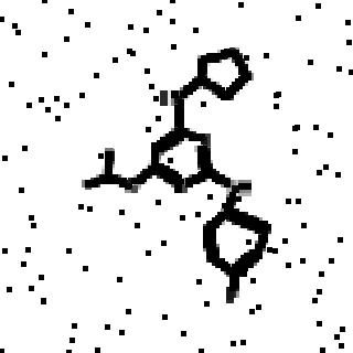 CC(C)Oc1cc(NC2CCCC2)nc(Nc2ccc(F)cc2)n1